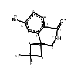 O=C1NCC2(CC(F)(F)C2)c2cc(Br)ccc21